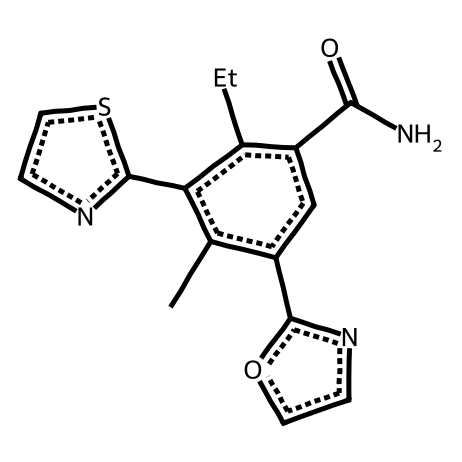 CCc1c(C(N)=O)cc(-c2ncco2)c(C)c1-c1nccs1